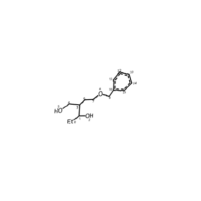 CCC(O)C(CO)CCOCc1ccccc1